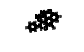 CNc1c(C(=O)N(C)c2ccccc2)c(=O)n(C)c2cccc(OC)c12